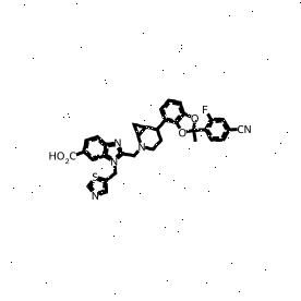 CC1(c2ccc(C#N)cc2F)Oc2cccc(C3CCN(Cc4nc5ccc(C(=O)O)cc5n4Cc4cncs4)C4CC34)c2O1